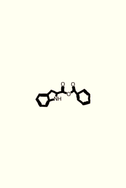 O=C(OC(=O)C1Cc2ccccc2N1)c1ccccc1